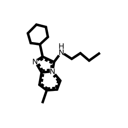 CCCCNc1c(C2CCCCC2)nc2cc(C)ccn12